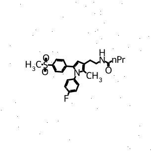 CCCC(=O)NCCc1cc(-c2ccc(S(C)(=O)=O)cc2)n(-c2ccc(F)cc2)c1C